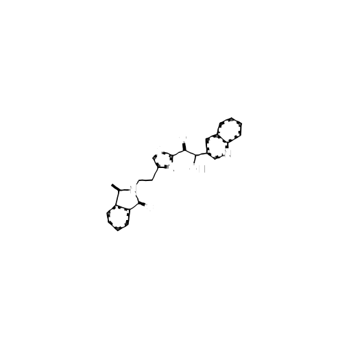 C=C1c2ccccc2C(=O)N1CCc1csc(C(=O)C(O)c2cnc3ccccc3c2)n1